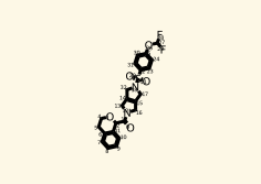 O=C(C1OCCc2ccccc21)N1CC2=C(C1)CN(S(=O)(=O)c1ccc(OC(F)F)cc1)C2